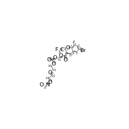 Cc1cc(Br)cc2c1OC(C(F)(F)F)C(C(=O)OCOC(=O)OCCOCCO[N+](=O)[O-])=C2